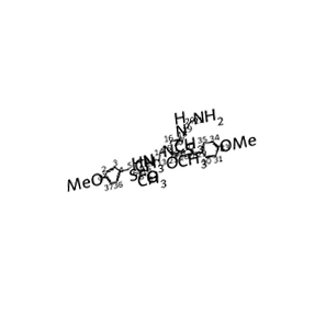 COc1ccc(CSC(C)(C)C(=O)NCCN(CCNCCN)C(=O)C(C)(C)SCc2ccc(OC)cc2)cc1